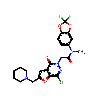 CN(C(=O)Cn1nc(Cl)c2oc(CN3CCCCC3)cc2c1=O)c1ccc2c(c1)OC(F)(F)O2